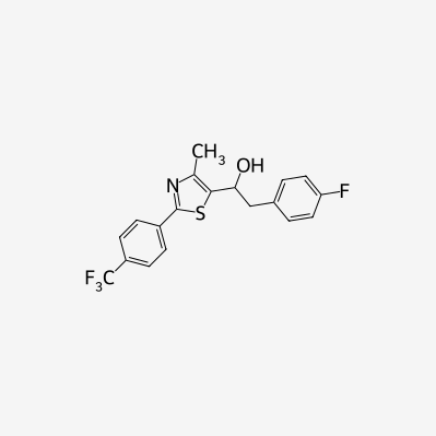 Cc1nc(-c2ccc(C(F)(F)F)cc2)sc1C(O)Cc1ccc(F)cc1